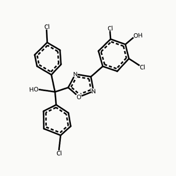 Oc1c(Cl)cc(-c2noc(C(O)(c3ccc(Cl)cc3)c3ccc(Cl)cc3)n2)cc1Cl